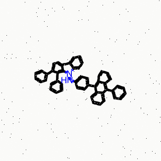 c1ccc(-c2ccc3c4ccccc4n(Nc4ccc(-c5c6ccccc6c(-c6ccccc6)c6ccccc56)cc4)c3c2-c2ccccc2)cc1